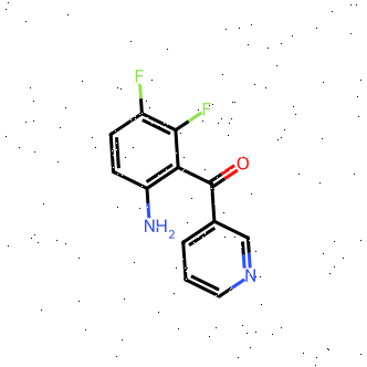 Nc1ccc(F)c(F)c1C(=O)c1cccnc1